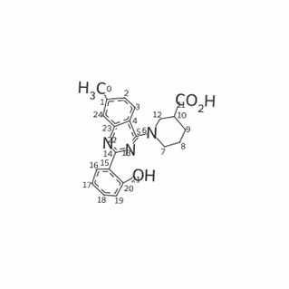 Cc1ccc2c(N3CCCC(C(=O)O)C3)nc(-c3ccccc3O)nc2c1